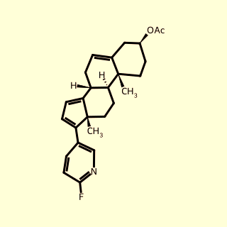 CC(=O)O[C@H]1CC[C@@]2(C)C(=CC[C@H]3C4=CC=C(c5ccc(F)nc5)[C@@]4(C)CC[C@@H]32)C1